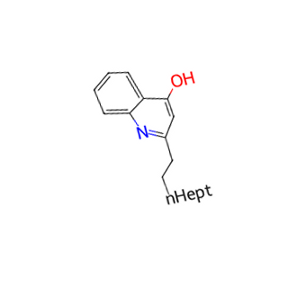 CCCCCCCCCc1cc(O)c2ccccc2n1